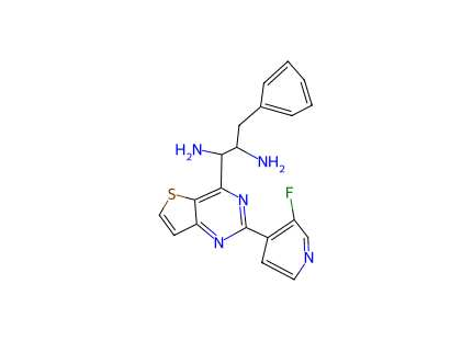 NC(Cc1ccccc1)C(N)c1nc(-c2ccncc2F)nc2ccsc12